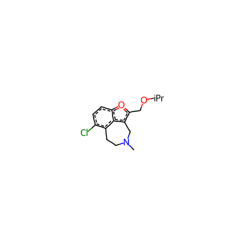 CC(C)OCc1oc2ccc(Cl)c3c2c1CN(C)CC3